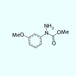 COC(=O)N(N)c1cccc(OC)c1